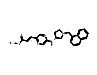 COC(=O)/C=C/c1cnc(N[C@@H]2CCN(Cc3cccc4ccccc34)C2)cn1